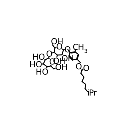 Cc1cc(COC(=O)CCCCCC(C)C)ccc1OC1OC(CO)C(OC2OC(CO)C(O)C(O)C2O)C(O)C1O